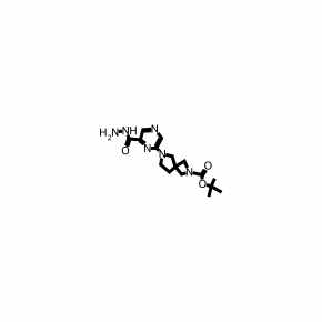 CC(C)(C)OC(=O)N1CC2(CCN(c3cncc(C(=O)NN)n3)C2)C1